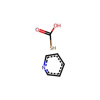 O=C(O)S.c1ccncc1